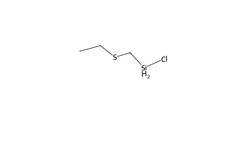 CCSC[SiH2]Cl